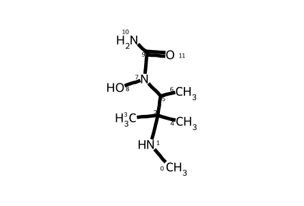 CNC(C)(C)C(C)N(O)C(N)=O